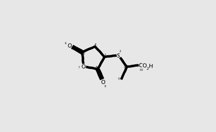 CC(SC1CC(=O)OC1=O)C(=O)O